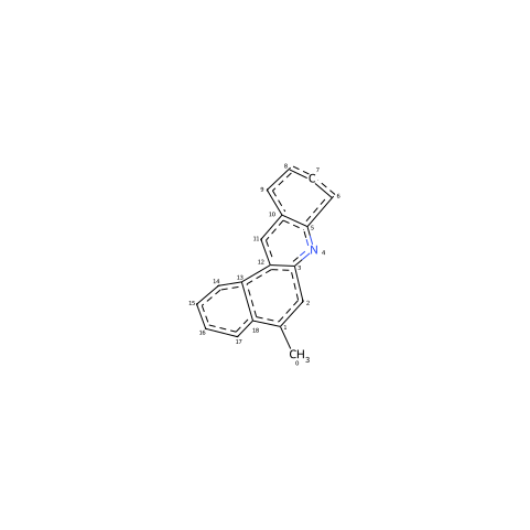 Cc1cc2nc3ccccc3cc2c2ccccc12